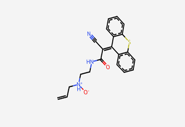 C=CC[NH+]([O-])CCNC(=O)C(C#N)=C1c2ccccc2Sc2ccccc21